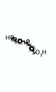 O=C(/C=C/c1ccc(SOOO)cc1)/C=C/c1ccc(S(=O)(=O)O)cc1